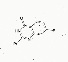 CC(C)c1nc2cc(F)ccc2c(=O)[nH]1